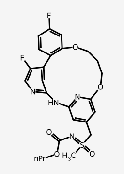 CCCOC(=O)N=S(C)(=O)Cc1cc2nc(c1)OCCCOc1cc(F)ccc1-c1cc(ncc1F)N2